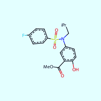 COC(=O)c1cc(N(CC(C)C)S(=O)(=O)c2ccc(F)cc2)ccc1O